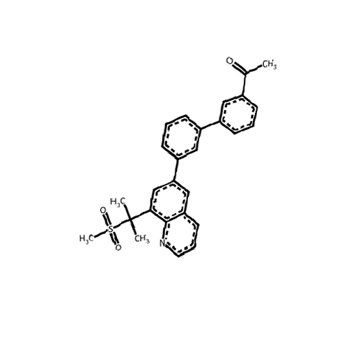 CC(=O)c1cccc(-c2cccc(-c3cc(C(C)(C)S(C)(=O)=O)c4ncccc4c3)c2)c1